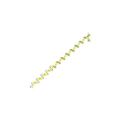 S=S=S=S=S=S=S=S=S=S=S=S=S=S=S=S=S=S=S=S=S=S=S=S=S(=S)=S